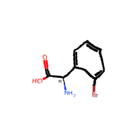 N[C@@H](C(=O)O)c1ccccc1Br